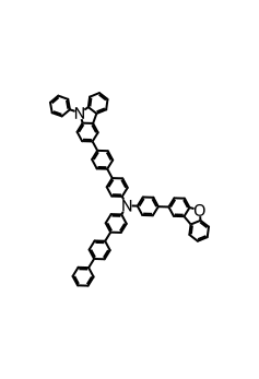 c1ccc(-c2ccc(-c3ccc(N(c4ccc(-c5ccc(-c6ccc7c(c6)c6ccccc6n7-c6ccccc6)cc5)cc4)c4ccc(-c5ccc6oc7ccccc7c6c5)cc4)cc3)cc2)cc1